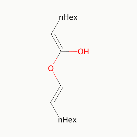 CCCCCCC=COC(O)=CCCCCCC